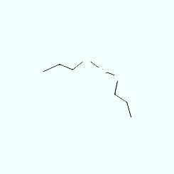 CCC[O][Al+][O]CCC